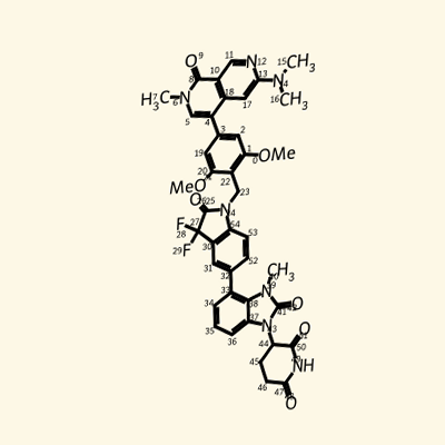 COc1cc(-c2cn(C)c(=O)c3cnc(N(C)C)cc23)cc(OC)c1CN1C(=O)C(F)(F)c2cc(-c3cccc4c3n(C)c(=O)n4C3CCC(=O)NC3=O)ccc21